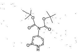 CC(C)(C)OC(=O)N(C(=O)OC(C)(C)C)c1cc[nH]c(=O)c1